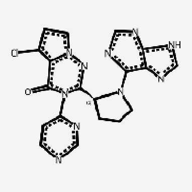 O=c1c2c(Cl)ccn2nc([C@@H]2CCCN2c2ncnc3[nH]cnc23)n1-c1ccncn1